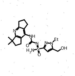 CCn1nc(S(N)(=O)=NC(=O)Nc2c3c(nc4c2CCC4(C)C)CCC3)cc1CO